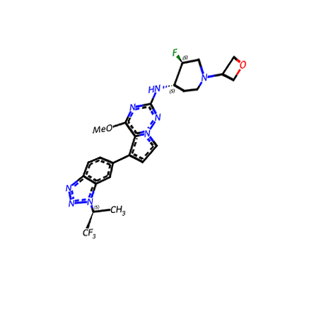 COc1nc(N[C@H]2CCN(C3COC3)C[C@@H]2F)nn2ccc(-c3ccc4nnn([C@@H](C)C(F)(F)F)c4c3)c12